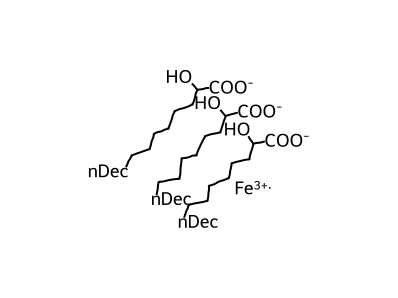 CCCCCCCCCCCCCCCCC(O)C(=O)[O-].CCCCCCCCCCCCCCCCC(O)C(=O)[O-].CCCCCCCCCCCCCCCCC(O)C(=O)[O-].[Fe+3]